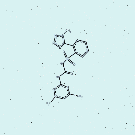 Cc1cc(C)nc(NC(=O)NS(=O)(=O)c2ccccc2-c2nnnn2C)n1